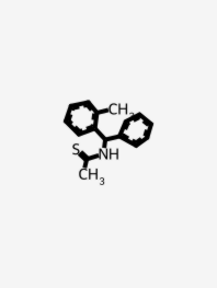 CC(=S)NC(c1ccccc1)c1ccccc1C